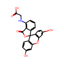 O=C(O)CNc1cccc2c1C(=O)OC21c2ccc(O)cc2Oc2cc(O)ccc21